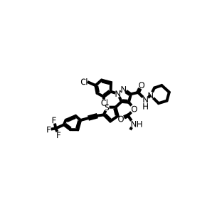 CNC(=O)Oc1c(C(=O)NN2CCCCC2)nn(-c2ccc(Cl)cc2Cl)c1-c1ccc(C#Cc2ccc(C(F)(F)F)cc2)s1